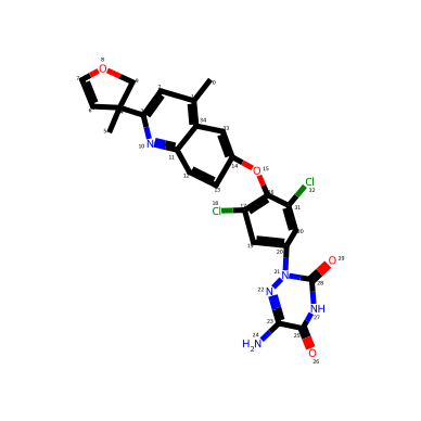 Cc1cc(C2(C)C=COC2)nc2ccc(Oc3c(Cl)cc(-n4nc(N)c(=O)[nH]c4=O)cc3Cl)cc12